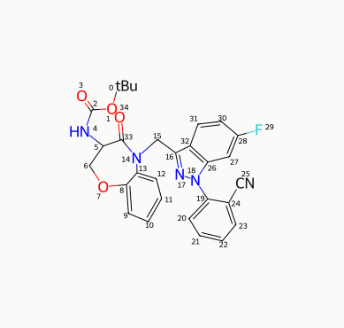 CC(C)(C)OC(=O)NC1COc2ccccc2N(Cc2nn(-c3ccccc3C#N)c3cc(F)ccc23)C1=O